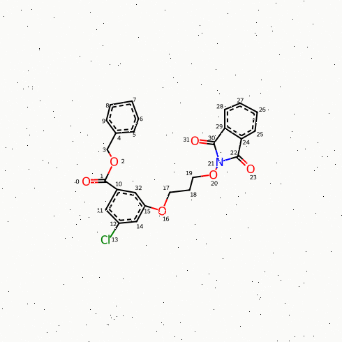 O=C(OCc1ccccc1)c1cc(Cl)cc(OCCCON2C(=O)c3ccccc3C2=O)c1